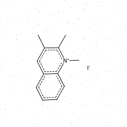 Cc1cc2ccccc2[n+](C)c1C.[I-]